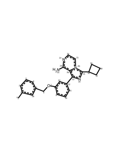 [CH2]c1cccc(COc2cccc(-c3nc(C4CCC4)n4ccnc(N)c34)c2)c1